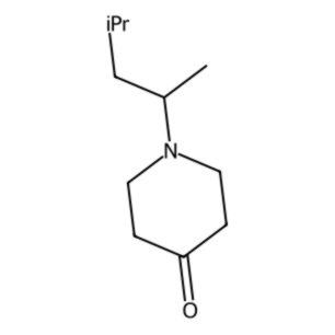 CC(C)CC(C)N1CCC(=O)CC1